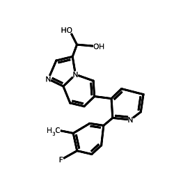 Cc1cc(-c2ncccc2-c2ccc3ncc(C(O)O)n3c2)ccc1F